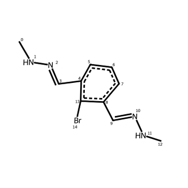 CN/N=C/c1cccc(/C=N/NC)c1Br